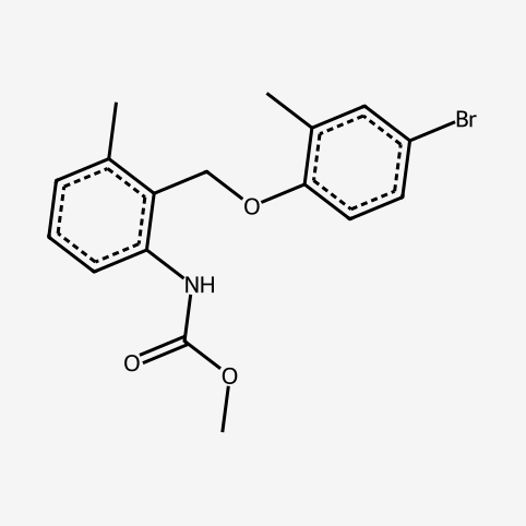 COC(=O)Nc1cccc(C)c1COc1ccc(Br)cc1C